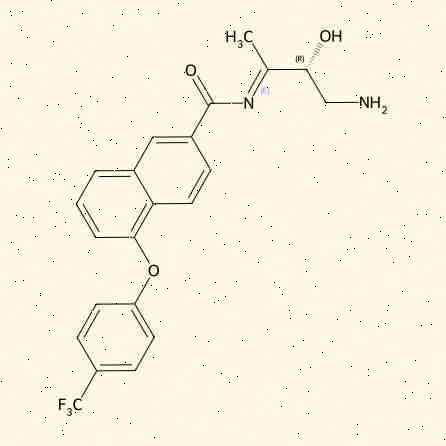 C/C(=N\C(=O)c1ccc2c(Oc3ccc(C(F)(F)F)cc3)cccc2c1)[C@H](O)CN